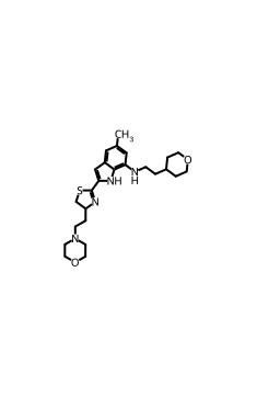 Cc1cc(NCCC2CCOCC2)c2[nH]c(C3=NC(CCN4CCOCC4)CS3)cc2c1